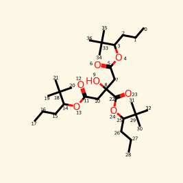 CCCC(OC(=O)CC(O)(CC(=O)OC(CCC)C(C)(C)C)C(=O)OC(CCC)C(C)(C)C)C(C)(C)C